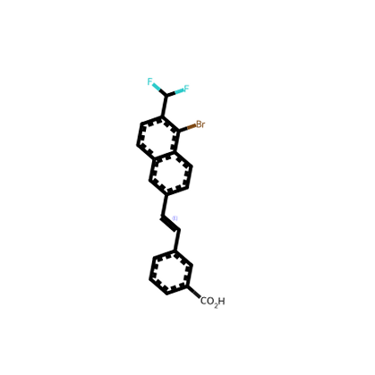 O=C(O)c1cccc(/C=C/c2ccc3c(Br)c(C(F)F)ccc3c2)c1